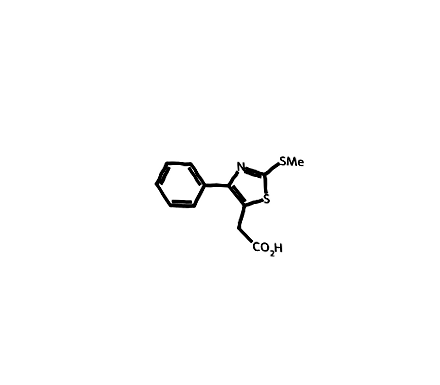 CSc1nc(-c2ccccc2)c(CC(=O)O)s1